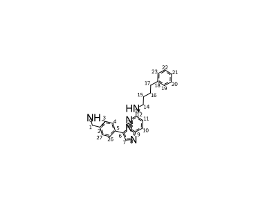 NCc1ccc(-c2cnc3ccc(NCCCCc4ccccc4)nn23)cc1